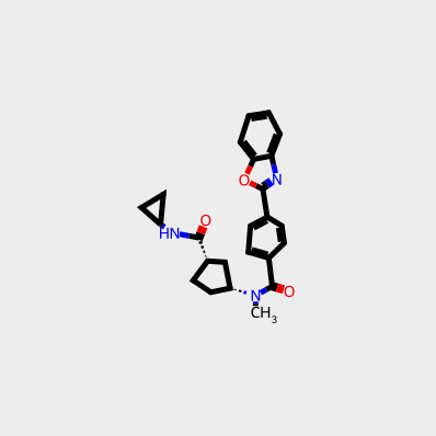 CN(C(=O)c1ccc(-c2nc3ccccc3o2)cc1)[C@@H]1CC[C@H](C(=O)NC2CC2)C1